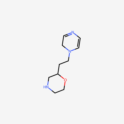 C1=CN(CCC2CNCCO2)CC=N1